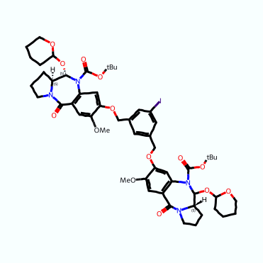 COc1cc2c(cc1OCc1cc(I)cc(COc3cc4c(cc3OC)C(=O)N3CCC[C@H]3[C@H](OC3CCCCO3)N4C(=O)OC(C)(C)C)c1)N(C(=O)OC(C)(C)C)C(OC1CCCCO1)[C@@H]1CCCN1C2=O